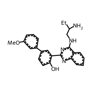 CCC(N)CNc1nc(-c2cc(-c3cccc(OC)c3)ccc2O)nc2ccccc12